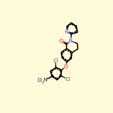 O=C1c2ccc(Oc3c(Cl)cc([N+](=O)[O-])cc3Cl)cc2CCN1c1ccccn1